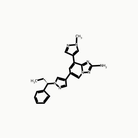 CC[C@@H](c1ccccc1)n1cc(-c2cc(-c3cnn(C)c3)c3nc(N)nn3c2)cn1